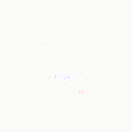 BNc1cc(-c2cccc(Cl)c2)ccc1C(=O)C(=O)O